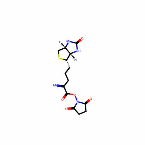 N=C(CCC[C@@H]1SC[C@@H]2NC(=O)N[C@@H]21)C(=O)ON1C(=O)CCC1=O